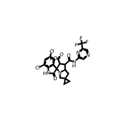 O=C(Nc1cncc(C(F)(F)F)n1)C1C2CC3(CC3)CN2C2(C(=O)Nc3c(Cl)cc(Cl)cc32)C1C(=O)O